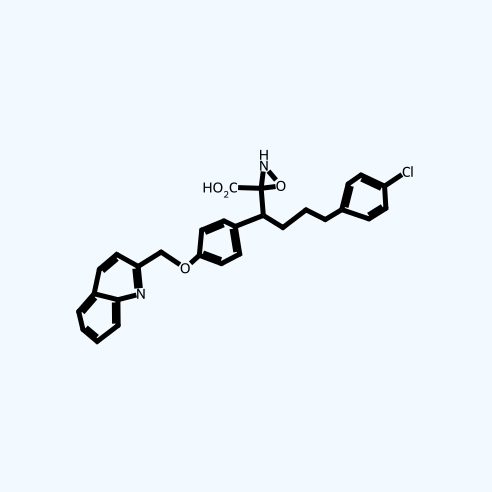 O=C(O)C1(C(CCCc2ccc(Cl)cc2)c2ccc(OCc3ccc4ccccc4n3)cc2)NO1